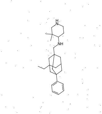 CCC12CC3CC(CNC4CCNCC4(C)C)(C1)CC(c1ccccc1)(C3)C2